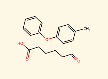 Cc1ccc(Oc2ccccc2)cc1.O=CCCCCC(=O)O